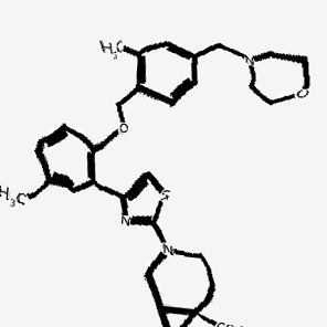 Cc1ccc(OCc2ccc(CN3CCOCC3)cc2C)c(-c2csc(N3CC[C@]4(C(=O)O)CC4C3)n2)c1